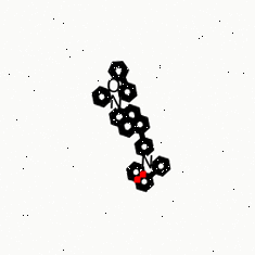 c1ccc(-c2ccccc2N(c2ccccc2)c2ccc(-c3ccc4ccc5c(N(c6ccccc6)c6cccc7c6oc6ccccc67)ccc6ccc3c4c65)cc2)cc1